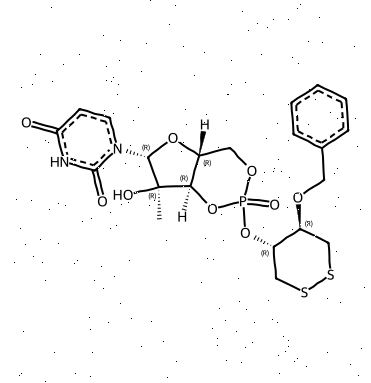 C[C@@]1(O)[C@@H]2OP(=O)(O[C@H]3CSSC[C@@H]3OCc3ccccc3)OC[C@H]2O[C@H]1n1ccc(=O)[nH]c1=O